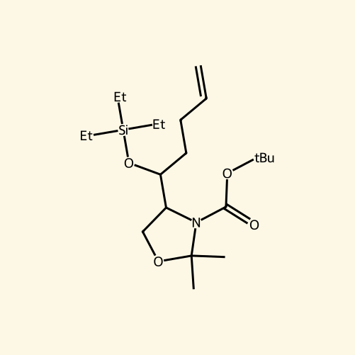 C=CCCC(O[Si](CC)(CC)CC)C1COC(C)(C)N1C(=O)OC(C)(C)C